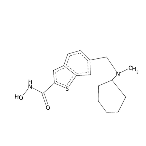 CN(Cc1ccc2cc(C(=O)NO)sc2c1)C1CCCCC1